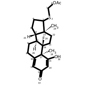 CC(=O)OCSC1CC[C@H]2[C@@H]3CCC4=CC(=O)C=C(O)[C@]4(C)[C@@]3(F)CC[C@]12C